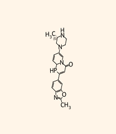 Cc1nc2ccc(C3=CC(=O)N4C=C(N5CCN[C@@H](C)C5)C=CC4P3)cc2o1